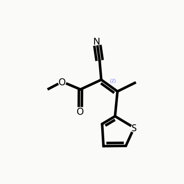 COC(=O)/C(C#N)=C(/C)c1cccs1